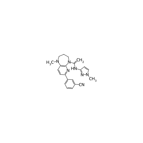 C=C(Nc1ccn(C)n1)N1CCCN(C)c2ccc(-c3cccc(C#N)c3)nc21